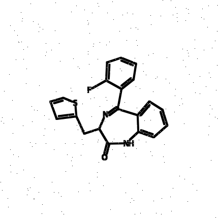 O=C1Nc2ccccc2C(c2ccccc2F)=NC1Cc1cccs1